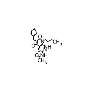 CCCCn1c2c(c(=O)n(Cc3ccccc3)c1=O)SC(NC(C)=O)=NN2